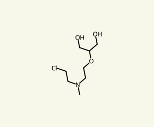 CN(CCCl)CCOC(CO)CO